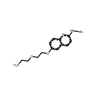 CC(C)(C)Nc1ccc2cc(OCCOCCN)ccc2n1